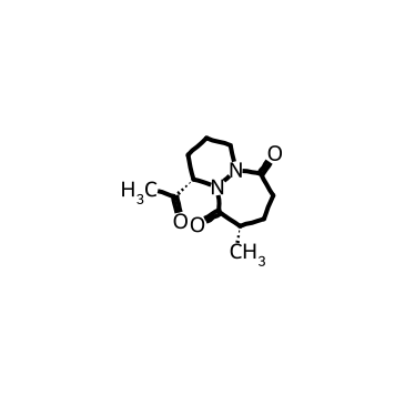 CC(=O)[C@@H]1CCCN2C(=O)CC[C@H](C)C(=O)N12